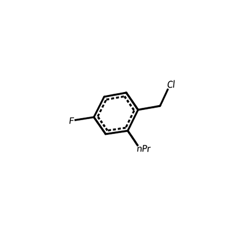 CCCc1cc(F)ccc1CCl